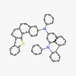 c1ccc(-c2ccccc2N(c2ccccc2)c2cccc(N(c3ccccc3)c3ccc4c(ccc5ccc6c7ccccc7sc6c54)c3)c2)cc1